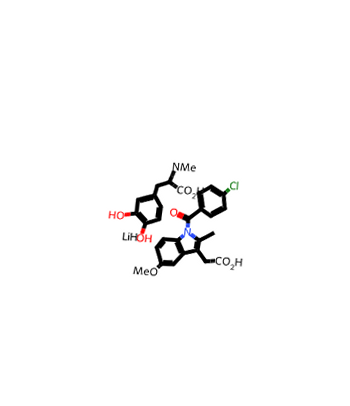 CNC(Cc1ccc(O)c(O)c1)C(=O)O.COc1ccc2c(c1)c(CC(=O)O)c(C)n2C(=O)c1ccc(Cl)cc1.[LiH]